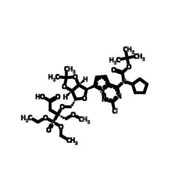 CCOP(=O)(OCC)[C@@](COC)(CC(=O)O)OC[C@H]1O[C@H](c2ccc3c(N(C(=O)OC(C)(C)C)C4CCCC4)nc(Cl)nn23)[C@@H]2OC(C)(C)O[C@@H]21